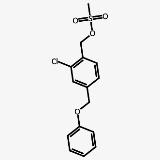 CS(=O)(=O)OCc1ccc(COc2ccccc2)cc1Cl